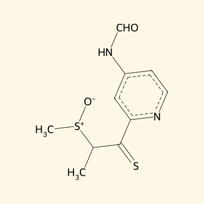 CC(C(=S)c1cc(NC=O)ccn1)[S+](C)[O-]